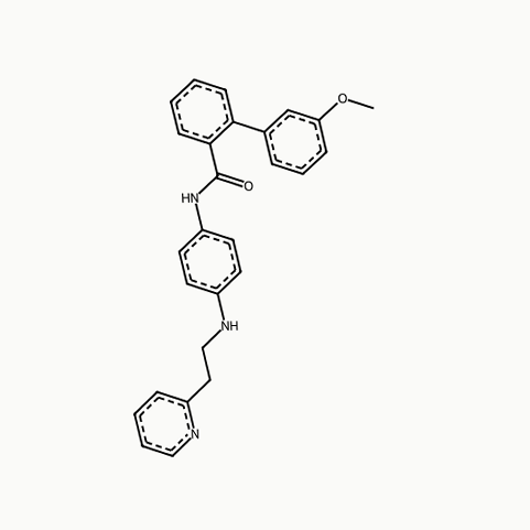 COc1cccc(-c2ccccc2C(=O)Nc2ccc(NCCc3ccccn3)cc2)c1